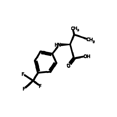 CC(C)[C@H](Nc1ccc(C(F)(F)F)cc1)C(=O)O